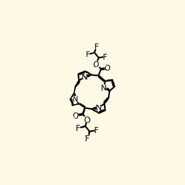 O=C(OC(F)C(F)F)C1=C2C=CC(=N2)C=C2C=CC(=N2)C(C(=O)OC(F)C(F)F)=C2C=CC(=N2)C=C2C=CC1=N2